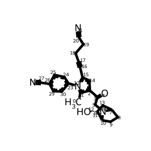 Cc1c(C(=O)CN2C3CCC2[C@H](O)C3)cc(C#CCCC#N)n1-c1ccc(C#N)cc1